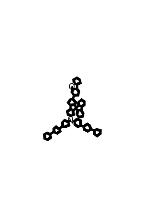 c1ccc(-c2ccc(-c3ccc(N(c4ccc(-c5ccc(-c6ccccc6)cc5)cc4)c4ccc5c(c4)C4(c6ccccc6-c6ccccc64)c4cc(-c6ccc7c(c6)oc6ccccc67)ccc4-5)cc3)cc2)cc1